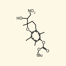 Cc1c(C)c2c(c(C)c1OC(=O)OC(C)(C)C)CCC(C)(C(O)C[N+](=O)[O-])O2